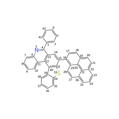 c1ccc(-c2nc3ccccc3c3c2cc(-c2ccc4ccc5cccc6ccc2c4c56)c2sc4ccccc4c23)cc1